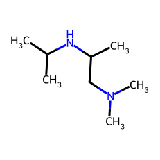 CC(C)NC(C)CN(C)C